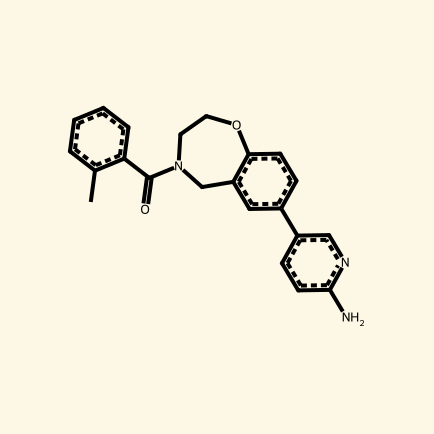 Cc1ccccc1C(=O)N1CCOc2ccc(-c3ccc(N)nc3)cc2C1